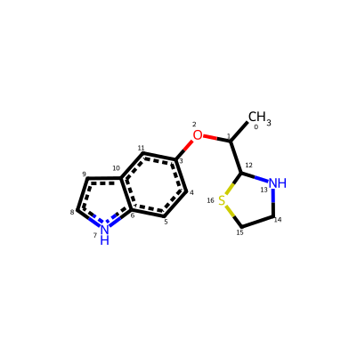 CC(Oc1ccc2[nH]ccc2c1)C1NCCS1